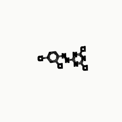 Clc1ccc(N=Nc2nc(Cl)nc(Cl)n2)c(Cl)c1